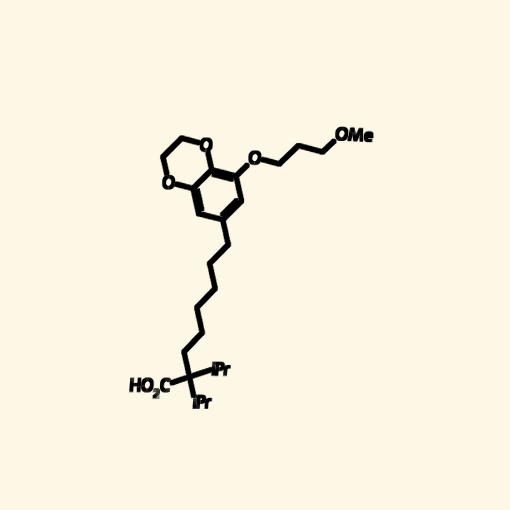 COCCCOc1cc(CCCCCCC(C(=O)O)(C(C)C)C(C)C)cc2c1OCCO2